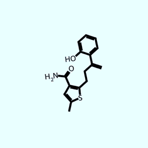 C=C(CCc1sc(C)cc1C(N)=O)c1ccccc1O